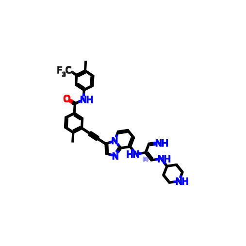 Cc1ccc(C(=O)Nc2ccc(C)c(C(F)(F)F)c2)cc1C#Cc1cnc2c(N/C(C=N)=C/NC3CCNCC3)cccn12